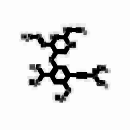 COc1cc(C(C)C)c(OC2=CNC(NN)NC2N=NN)cc1C#C[SiH](C)C